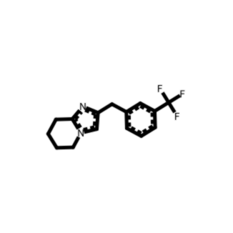 FC(F)(F)c1cccc(Cc2cn3c(n2)CCCC3)c1